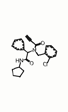 C#CC(=O)N(Cc1ccccc1Cl)C(C(=O)NC1CCCC1)c1ccccc1